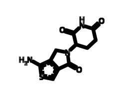 Nc1scc2c1CN(C1CCC(=O)NC1=O)C2=O